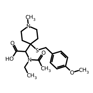 CCN(C(C)=O)C(C(=O)O)C1(SCc2ccc(OC)cc2)CCN(C)CC1